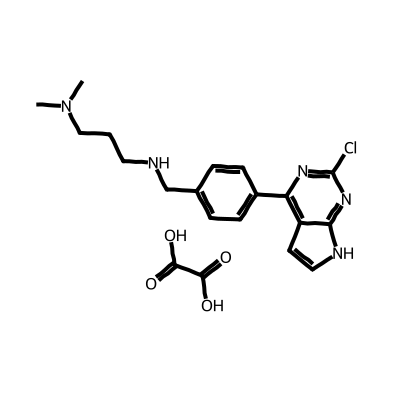 CN(C)CCCNCc1ccc(-c2nc(Cl)nc3[nH]ccc23)cc1.O=C(O)C(=O)O